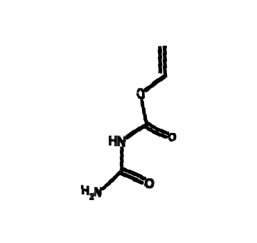 C=COC(=O)NC(N)=O